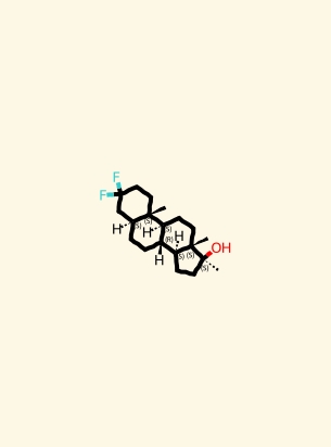 C[C@]12CCC(F)(F)C[C@@H]1CC[C@@H]1[C@@H]2CC[C@@]2(C)[C@H]1CC[C@]2(C)O